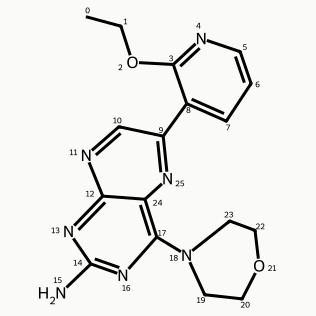 CCOc1ncccc1-c1cnc2nc(N)nc(N3CCOCC3)c2n1